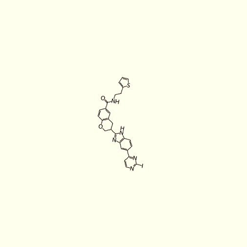 O=C(NCCc1cccs1)c1ccc2c(c1)CC(c1nc3cc(-c4ccnc(I)n4)ccc3[nH]1)CO2